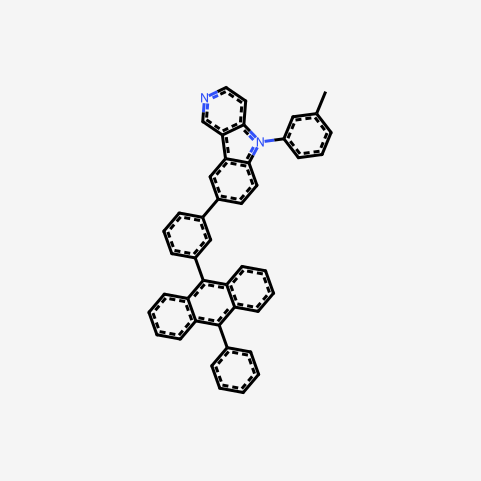 Cc1cccc(-n2c3ccncc3c3cc(-c4cccc(-c5c6ccccc6c(-c6ccccc6)c6ccccc56)c4)ccc32)c1